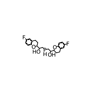 OC(CPCC(O)C1CCc2cc(F)ccc2O1)C1CCc2cc(F)ccc2O1